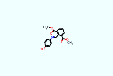 COC(=O)c1cccc(C(=O)OC)c1C=Nc1ccc(O)cc1